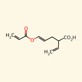 C=CC(=O)OC=CCC(C=C)C(=O)O